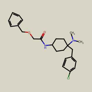 CN(C)C1(Cc2ccc(Cl)cc2)CCC(NC(=O)COCc2ccccc2)CC1